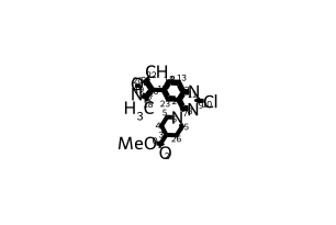 COC(=O)C1CCN(c2nc(Cl)nc3ccc(-c4c(C)noc4C)cc23)CC1